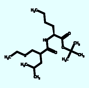 CCCC[C@H](NC(=O)C(CSCC)CC(C)C)C(=O)OC(C)(C)C